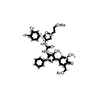 COCCN1C[C@@H](NC(=O)Nc2c(C)c(-c3cc(COC(C)=O)c(=O)n(C)c3)nn2-c2ccccc2)[C@H](c2ccc(F)c(F)c2)O1